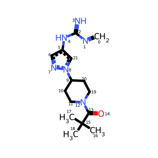 C=NC(=N)Nc1cnn(C2CCN(C(=O)C(C)(C)C)CC2)c1